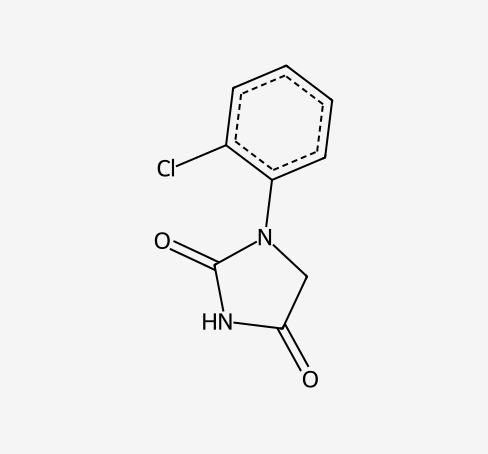 O=C1CN(c2ccccc2Cl)C(=O)N1